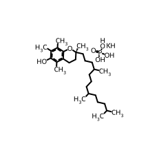 Cc1c(C)c2c(c(C)c1O)CC[C@@](C)(CCCC(C)CCCC(C)CCCC(C)C)O2.O=P(O)(O)O.[KH]